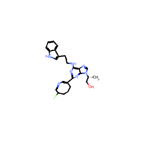 C[C@H](CO)n1cnc2c(NCCc3c[nH]c4ccccc34)nc(/C3=C/N=C\C(F)CCC3)nc21